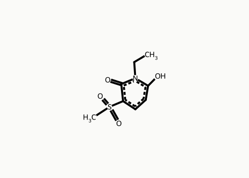 CCn1c(O)ccc(S(C)(=O)=O)c1=O